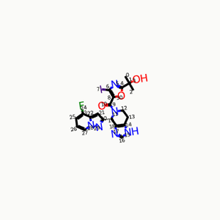 CC(C)(O)c1nc(I)c(C(=O)N2CCc3[nH]cnc3[C@@H]2c2cc3c(F)cccn3n2)o1